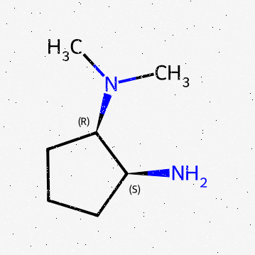 CN(C)[C@@H]1CCC[C@@H]1N